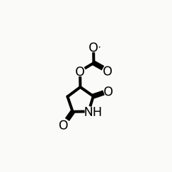 [O]C(=O)OC1CC(=O)NC1=O